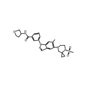 Cc1cc2c(cnn2-c2cccc(C(=O)NC3CCOC3)c2)cc1N1CCN(S(C)(=O)=O)C2(CC2)C1